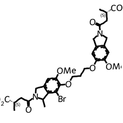 COc1cc2c(cc1OCCCOc1c(OC)cc3c(c1Br)C(C)N(C(=O)C[C@H](C)C(=O)O)C3)CN(C(=O)C[C@H](C)C(=O)O)C2